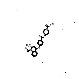 CCC(=O)N1c2ccccc2[C@H](Nc2ccc(C(=O)NC3CCN(C(=O)OC(C)(C)C)CC3)cc2)C[C@@H]1C